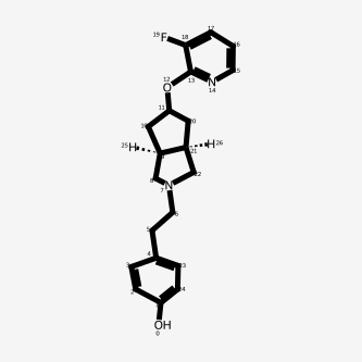 Oc1ccc(CCN2C[C@H]3CC(Oc4ncccc4F)C[C@H]3C2)cc1